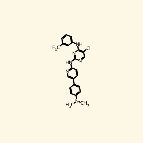 CN(C)c1ccc(-c2ccc(Nc3ncc(Cl)c(Nc4cccc(C(F)(F)F)c4)n3)nc2)cc1